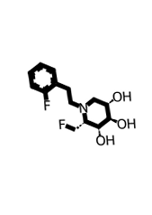 O[C@H]1[C@H](O)[C@H](CF)N(CCc2ccccc2F)C[C@@H]1O